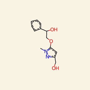 Cn1nc(CO)cc1OCC(O)c1ccccc1